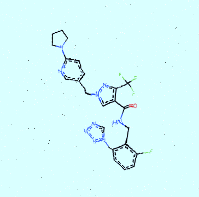 O=C(NCc1c(F)cccc1-n1cnnn1)c1cn(Cc2ccc(N3CCCC3)nc2)nc1C(F)(F)F